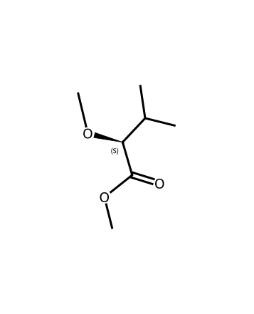 COC(=O)[C@@H](OC)C(C)C